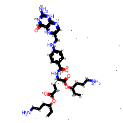 CCC(CCCN)OC(=O)CC[C@H](NC(=O)c1ccc(NCc2cnc3[nH]c(N)nc(=O)c3n2)cc1)C(=O)OC(CC)CCCN